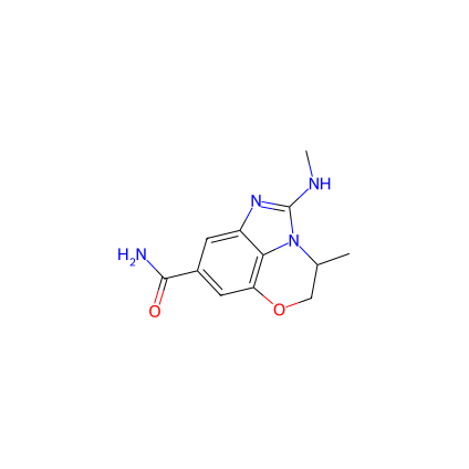 CNc1nc2cc(C(N)=O)cc3c2n1C(C)CO3